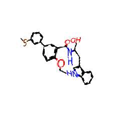 CCOc1ccc(-c2cccc(SC)c2)cc1C(=O)NC(CO)Cc1c[nH]c2ccccc12